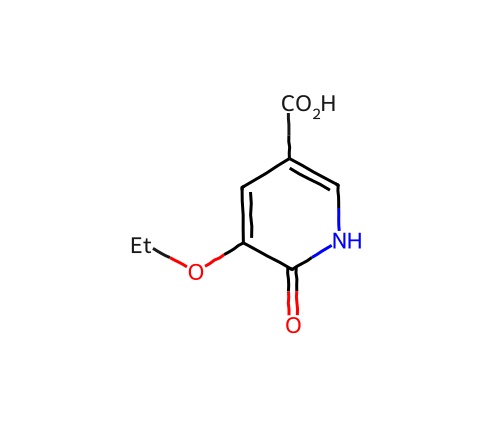 CCOc1cc(C(=O)O)c[nH]c1=O